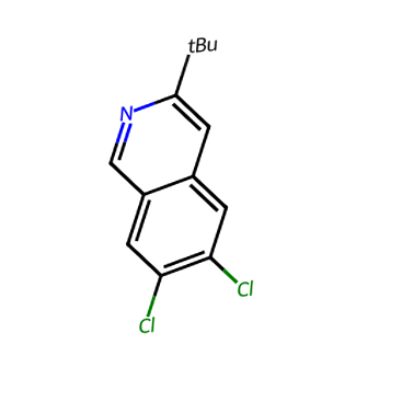 CC(C)(C)c1cc2cc(Cl)c(Cl)cc2cn1